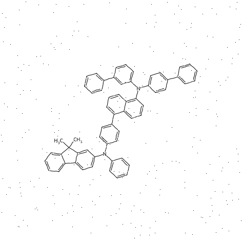 CC1(C)c2ccccc2-c2ccc(N(c3ccccc3)c3ccc(-c4cccc5c(N(c6ccc(-c7ccccc7)cc6)c6cccc(-c7ccccc7)c6)cccc45)cc3)cc21